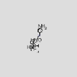 CNNC(=O)CNC(=O)/C=C/c1ccc(N)nc1